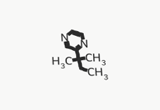 CCC(C)(C)c1cnccn1